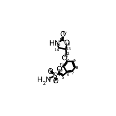 NS(=O)(=O)c1cc2cccc(OCC3CNC(=O)O3)c2o1